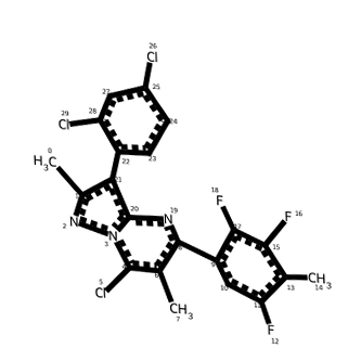 Cc1nn2c(Cl)c(C)c(-c3cc(F)c(C)c(F)c3F)nc2c1-c1ccc(Cl)cc1Cl